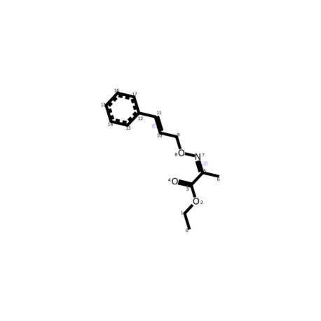 CCOC(=O)/C(C)=N\OC/C=C/c1ccccc1